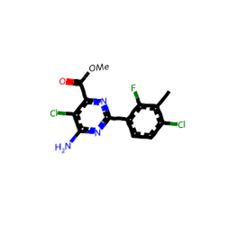 COC(=O)c1nc(-c2ccc(Cl)c(C)c2F)nc(N)c1Cl